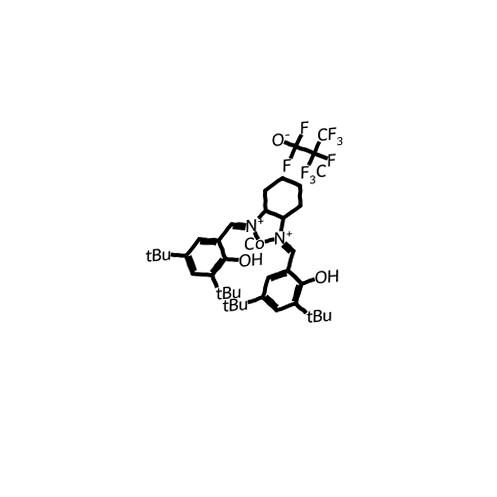 CC(C)(C)c1cc(C=[N+]2[Co][N+](=Cc3cc(C(C)(C)C)cc(C(C)(C)C)c3O)C3CCCCC32)c(O)c(C(C)(C)C)c1.[O-]C(F)(F)C(F)(C(F)(F)F)C(F)(F)F